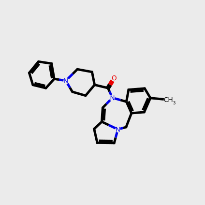 Cc1ccc2c(c1)CN1C=CCC1=CN2C(=O)C1CCN(c2ccccc2)CC1